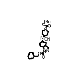 CC(C)(C)OC(=O)N1CCC(C#N)(Nc2ccc3c(cnn3C(=O)OCc3ccccc3)c2)CC1